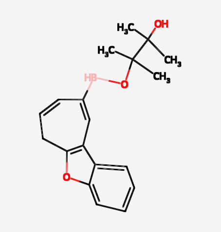 CC(C)(O)C(C)(C)OBC1=Cc2c(oc3ccccc23)CC=C1